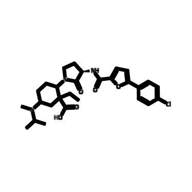 CCC1(C(=O)O)CC(N(C)C(C)C)CCC1N1CC[C@H](NC(=O)c2ccc(-c3ccc(Cl)cc3)o2)C1=O